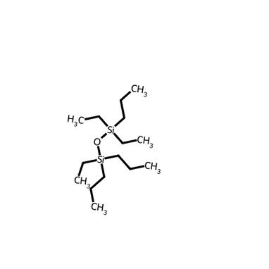 CCC[Si](CC)(CC)O[Si](CC)(CCC)CCC